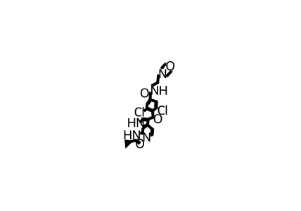 O=C(NCCCN1CCOCC1)c1cc(Cl)c(C(=O)c2c[nH]c3c(NC(=O)C4CC4)nccc23)c(Cl)c1